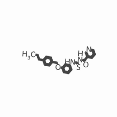 CCCc1ccc(COc2cccc(NC(=S)NC(=O)c3cccnc3)c2)cc1